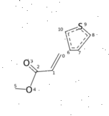 C=CC(=O)OC.c1ccsc1